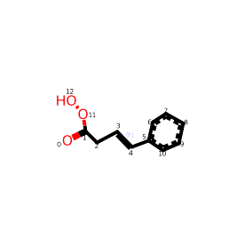 O=C(C/C=C/c1ccccc1)OO